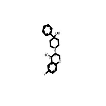 O[C@@H]1c2cc(F)ccc2OC[C@@H]1N1CCC(O)(c2ccccc2)CC1